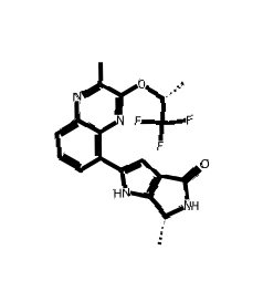 Cc1nc2cccc(-c3cc4c([nH]3)[C@@H](C)NC4=O)c2nc1O[C@H](C)C(F)(F)F